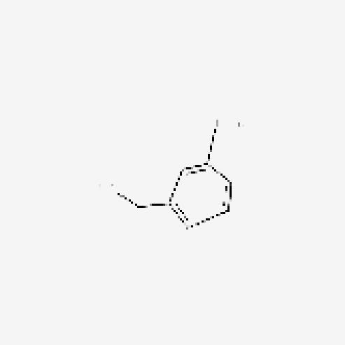 CCCC(C)c1cccc(CC#N)c1